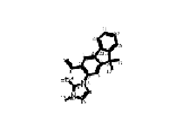 C=Cc1cc2c(cc1N1C=CN(C)C1CC)C(C)(C)c1ccccc1-2